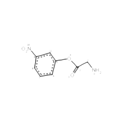 NCC(=O)Oc1cccc([N+](=O)[O-])c1